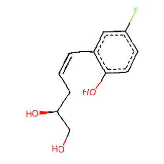 OC[C@@H](O)C/C=C\c1cc(F)ccc1O